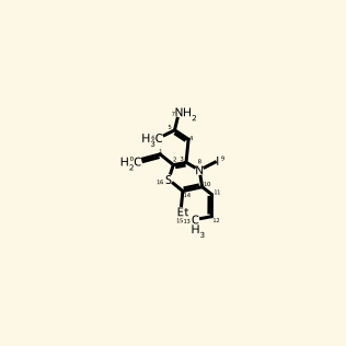 C=CC1=C(/C=C(\C)N)N(I)C(/C=C\C)=C(CC)S1